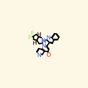 O=c1cc(-c2cc3ccccc3nc2N2CC[C@@H]3CC(F)(F)C[C@H]3C2)[nH]c2ccncc12